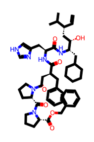 C=C[C@H](C[C@H](O)[C@H](CC1CCCCC1)NC(=O)[C@H](Cc1c[nH]cn1)NC(=O)[C@H](CC(=O)N1CCC[C@H]1C(=O)N1CCC[C@H]1C(=O)OCc1ccccc1)Cc1ccccc1)C(C)C